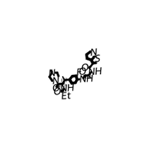 CCC(=O)N[C@@H](C(=O)N1CCN(C)CC1)[C@@H](C)c1ccc(NC(=O)[C@H](C)NC(=O)c2csc3ncccc23)c(F)c1